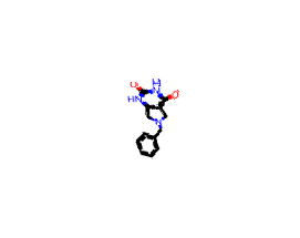 O=c1[nH]c2c(c(=O)[nH]1)CN(Cc1ccccc1)C2